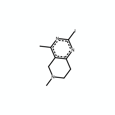 Cc1nc(I)nc2c1CN(C)CC2